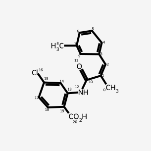 CC(=Cc1cccc(C)c1)C(=O)Nc1cc(Cl)ccc1C(=O)O